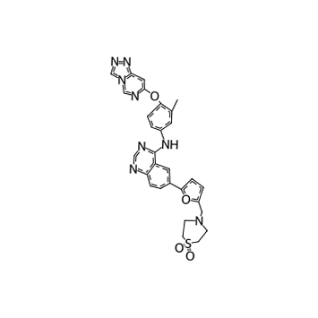 Cc1cc(Nc2ncnc3ccc(-c4ccc(CN5CCS(=O)(=O)CC5)o4)cc23)ccc1Oc1cc2nncn2cn1